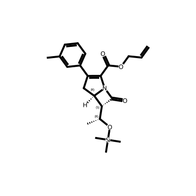 C=CCOC(=O)C1=C(c2cccc(C)c2)C[C@@H]2[C@@H]([C@@H](C)O[Si](C)(C)C)C(=O)N12